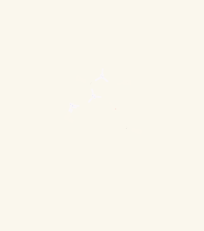 CC(C)=O.CN1C(=O)N(c2cc(C3(C)CCCCCC3)on2)C(O)C1O